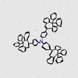 C1=C(c2ccc(N(c3ccc(C4=Cc5ccccc5C(c5ccccc5)(c5ccccc5)c5ccccc54)cc3)c3ccc(C4=Cc5ccccc5C(c5ccccc5)(c5ccccc5)c5ccccc54)cc3)cc2)c2ccccc2C(c2ccccc2)(c2ccccc2)c2ccccc21